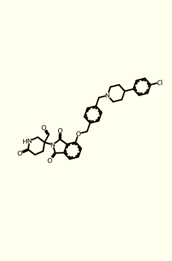 O=CC1(N2C(=O)c3cccc(OCc4ccc(CN5CCC(c6ccc(Cl)cc6)CC5)cc4)c3C2=O)CCC(=O)NC1